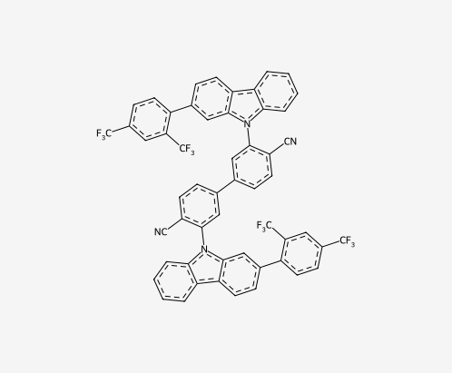 N#Cc1ccc(-c2ccc(C#N)c(-n3c4ccccc4c4ccc(-c5ccc(C(F)(F)F)cc5C(F)(F)F)cc43)c2)cc1-n1c2ccccc2c2ccc(-c3ccc(C(F)(F)F)cc3C(F)(F)F)cc21